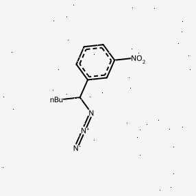 CCCCC(N=[N+]=[N-])c1cccc([N+](=O)[O-])c1